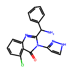 NC(c1ccccc1)c1nc2cccc(Cl)c2c(=O)n1-c1cc[nH]n1